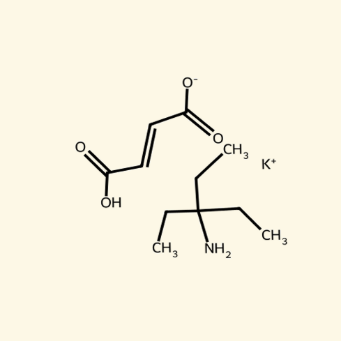 CCC(N)(CC)CC.O=C([O-])C=CC(=O)O.[K+]